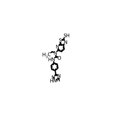 CCN(C(=O)Nc1ccc(-c2nn[nH]n2)cc1)c1ccc2nc(S)sc2n1